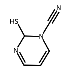 N#CN1C=CC=NC1S